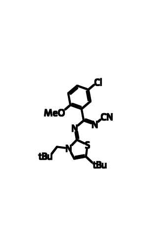 COc1ccc(Cl)cc1C(/N=c1\sc(C(C)(C)C)cn1CC(C)(C)C)=N\C#N